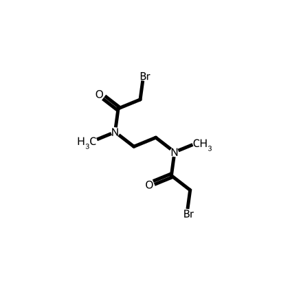 CN(CCN(C)C(=O)CBr)C(=O)CBr